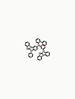 c1ccc(-c2ccccc2N(c2cccc(-n3c4ccccc4n4c5ccccc5nc34)c2)c2ccc3c(c2)n2c4ccccc4nc2n3-c2ccccc2)cc1